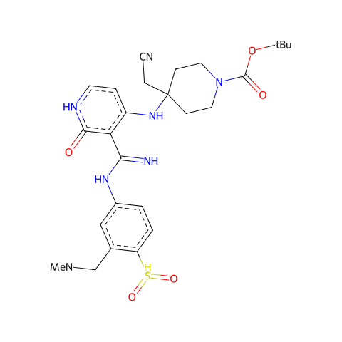 CNCc1cc(NC(=N)c2c(NC3(CC#N)CCN(C(=O)OC(C)(C)C)CC3)cc[nH]c2=O)ccc1[SH](=O)=O